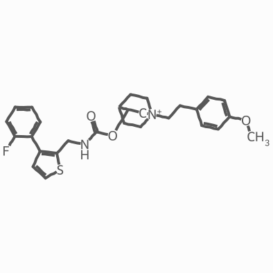 COc1ccc(CC[N+]23CCC(CC2)C(OC(=O)NCc2sccc2-c2ccccc2F)C3)cc1